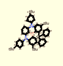 CC(C)(C)c1ccc(N2c3cccc4c3B3c5c2cc(C(C)(C)C)cc5[Si](c2ccccc2)(c2ccccc2)c2cc(C(C)(C)C)cc(c23)N4c2ccc(C(C)(C)C)cc2)cc1